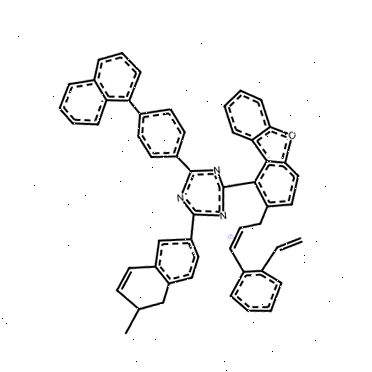 C=Cc1ccccc1/C=C\Cc1ccc2oc3ccccc3c2c1-c1nc(-c2ccc(-c3cccc4ccccc34)cc2)nc(-c2ccc3c(c2)C=CC(C)C3)n1